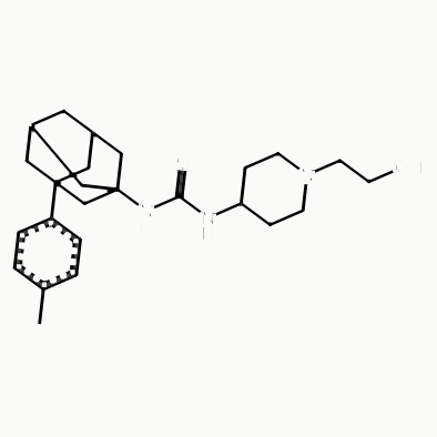 Cc1ccc(C23CC4CC(CC(NC(=O)NC5CCN(CCO)CC5)(C4)C2)C3)cc1